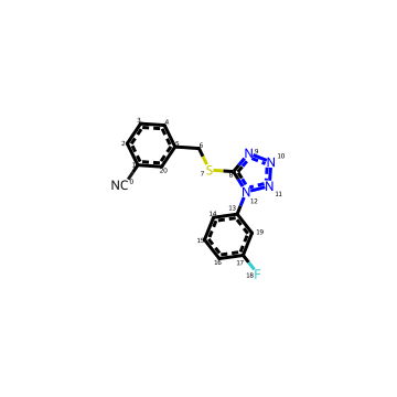 N#Cc1cccc(CSc2nnnn2-c2cccc(F)c2)c1